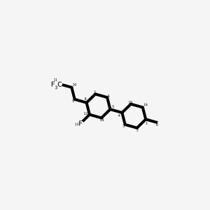 CC1CCC(C2CCC(CCC(F)(F)F)C(F)C2)CC1